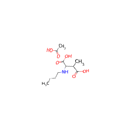 CC(=O)O.CCCCNC(C(=O)O)C(C)C(=O)O